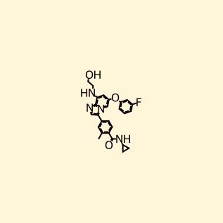 Cc1cc(-c2cnc3c(NCCO)cc(Oc4cccc(F)c4)cn23)ccc1C(=O)NC1CC1